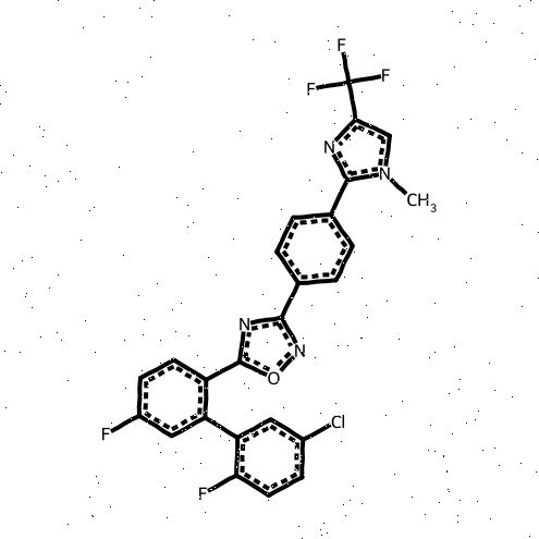 Cn1cc(C(F)(F)F)nc1-c1ccc(-c2noc(-c3ccc(F)cc3-c3cc(Cl)ccc3F)n2)cc1